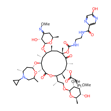 CON=C1C[C@@H](C)O[C@@H](O[C@@H]2[C@@H](C)[C@H](O[C@H]3C[C@@H](C)N(C4CC4)CC(C)O3)[C@@H](C)C(=O)OC([C@@H](C)CO[C@@H]3O[C@H](C)[C@@H](O)[C@@H](OC)[C@H]3OC)[C@H](C)[C@@H](OC(=O)CC(C)C)[C@@H](C)C(=O)[C@@](C)(OC(=O)NCCNC(=O)c3cnc(O)cn3)C[C@@H]2C)[C@@H]1O